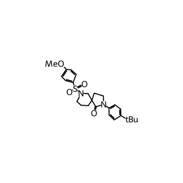 COc1ccc(S(=O)(=O)N2CCCC3(CCN(c4ccc(C(C)(C)C)cc4)C3=O)C2)cc1